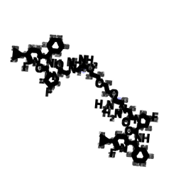 N/C(=C\N(N)CC(=O)N1C[C@H](F)C[C@H]1C(=O)N[C@@H](c1ccccc1)c1ccc(C2CC2)c(F)n1)OCCOCCO/C(N)=C/N(N)CC(=O)N1C[C@H](F)C[C@H]1C(=O)N[C@@H](c1ccccc1)c1ccc(C2CC2)c(F)n1